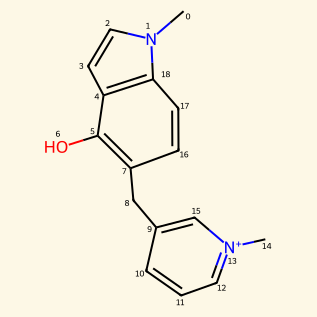 Cn1ccc2c(O)c(Cc3ccc[n+](C)c3)ccc21